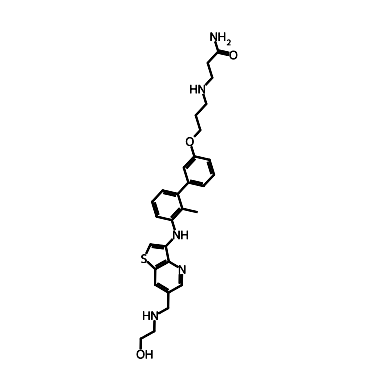 Cc1c(Nc2csc3cc(CNCCO)cnc23)cccc1-c1cccc(OCCCNCCC(N)=O)c1